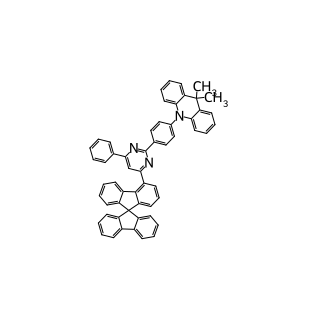 CC1(C)c2ccccc2N(c2ccc(-c3nc(-c4ccccc4)cc(-c4cccc5c4-c4ccccc4C54c5ccccc5-c5ccccc54)n3)cc2)c2ccccc21